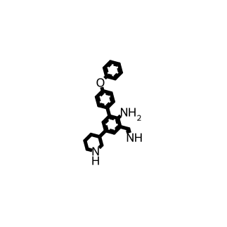 N=Cc1cc(C2CCCNC2)cc(-c2ccc(Oc3ccccc3)cc2)c1N